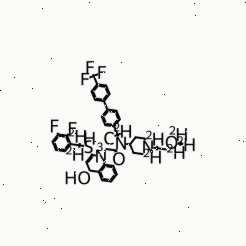 [2H]C([2H])([2H])OCC([2H])([2H])N1CCC(N(C(=O)CN2C(SC([2H])([2H])c3cccc(F)c3F)=CC(O)c3ccccc32)C([2H])(C)c2ccc(-c3ccc(C(F)(F)F)cc3)cc2)CC1